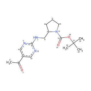 CC(=O)c1cnc(NCC2CCCN2C(=O)OC(C)(C)C)nc1